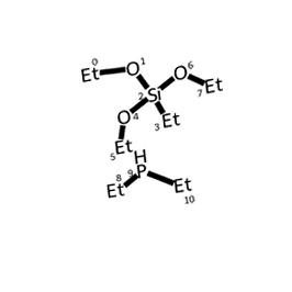 CCO[Si](CC)(OCC)OCC.CCPCC